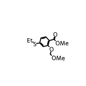 CCSc1ccc(C(=O)OC)c(OCOC)c1